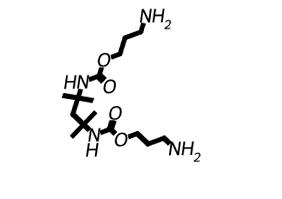 CC(C)(CC(C)(C)NC(=O)OCCCN)NC(=O)OCCCN